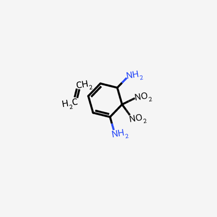 C=C.NC1=CC=CC(N)C1([N+](=O)[O-])[N+](=O)[O-]